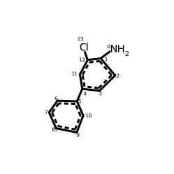 Nc1ccc(-c2cc[c]cc2)cc1Cl